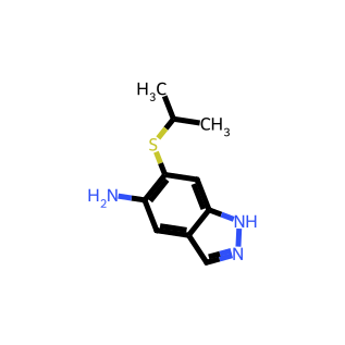 CC(C)Sc1cc2[nH]ncc2cc1N